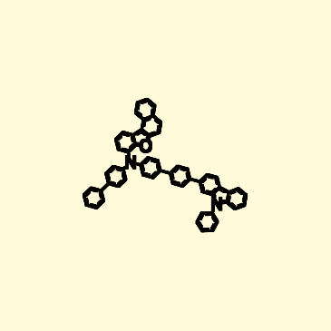 c1ccc(-c2ccc(N(c3ccc(-c4ccc(-c5ccc6c7ccccc7n(-c7ccccc7)c6c5)cc4)cc3)c3cccc4c3oc3ccc5ccccc5c34)cc2)cc1